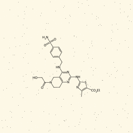 CCOC(=O)c1sc(Nc2nc3c(c(NCc4ccc(S(N)(=O)=O)cc4)n2)CN(C(=O)CO)CC3)nc1C